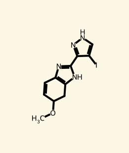 COC1C=Cc2nc(-c3n[nH]cc3I)[nH]c2C1